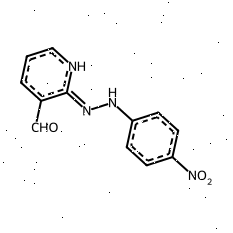 O=Cc1ccc[nH]c1=NNc1ccc([N+](=O)[O-])cc1